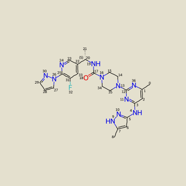 Cc1cc(Nc2cc(C)[nH]n2)nc(N2CCN(C(=O)N[C@@H](C)c3cnc(-n4cccn4)c(F)c3)CC2)n1